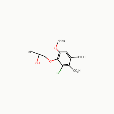 CCCCCCOc1cc(C(=O)O)c(C(=O)O)c(Br)c1OCC(O)CCC